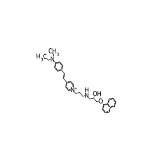 CCN(CC)c1ccc(C=Cc2cc[n+](CCCNCC(O)COc3cccc4ccccc34)cc2)cc1